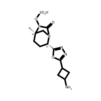 C[C@@]12CC[C@@H](c3nnc(C4CC(N)C4)o3)N(C1)C(=O)N2OS(=O)(=O)O